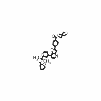 CC(C)(OC1CCCCO1)c1cc(-c2ccnc3cc(-c4ccc(C(=O)N5CC6(COC6)C5)cc4)oc23)ccn1